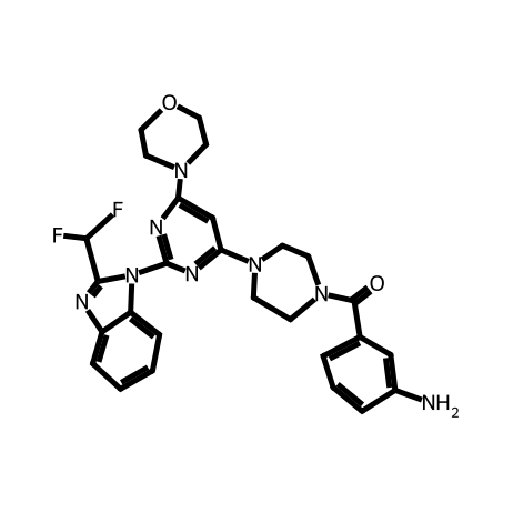 Nc1cccc(C(=O)N2CCN(c3cc(N4CCOCC4)nc(-n4c(C(F)F)nc5ccccc54)n3)CC2)c1